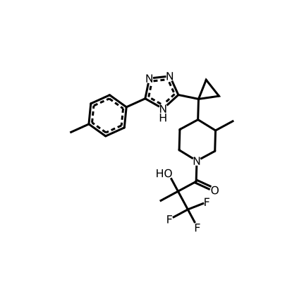 Cc1ccc(-c2nnc(C3(C4CCN(C(=O)C(C)(O)C(F)(F)F)CC4C)CC3)[nH]2)cc1